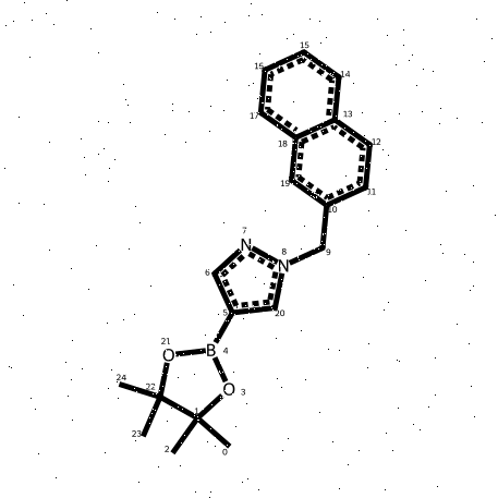 CC1(C)OB(c2cnn(Cc3ccc4ccccc4c3)c2)OC1(C)C